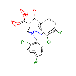 O=C(O)c1cn(-c2ccc(F)cc2F)c2c(Cl)c(F)ccc2c1=O